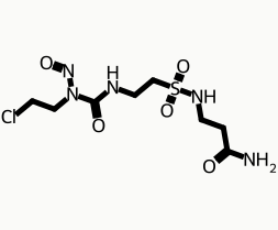 NC(=O)CCNS(=O)(=O)CCNC(=O)N(CCCl)N=O